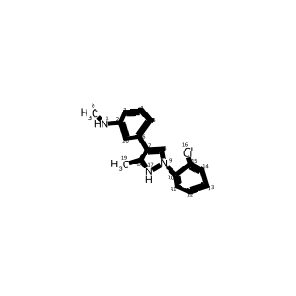 CNc1cccc(C2=CN(c3ccccc3Cl)NC2C)c1